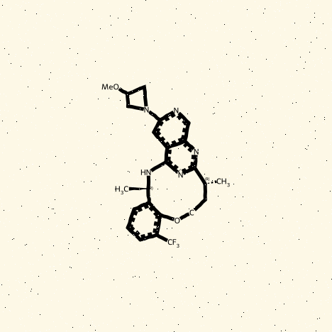 COC1CN(c2cc3c4nc(nc3cn2)[C@H](C)CCOc2c(cccc2C(F)(F)F)[C@@H](C)N4)C1